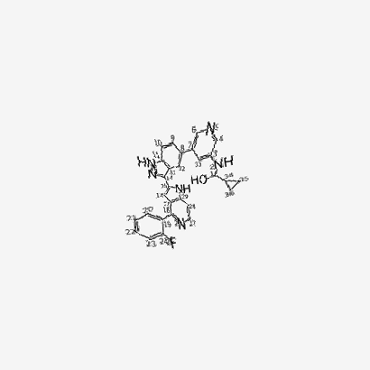 OC(Nc1cncc(-c2ccc3[nH]nc(-c4cc5c(-c6ccccc6F)nccc5[nH]4)c3c2)c1)C1CC1